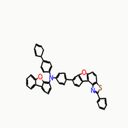 C1=CCC(c2ccc(N(c3ccc(-c4ccc5c(c4)oc4ccc6sc(-c7ccccc7)nc6c45)cc3)c3cccc4c3oc3ccccc34)cc2)C=C1